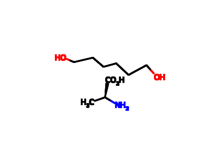 C[C@H](N)C(=O)O.OCCCCCCO